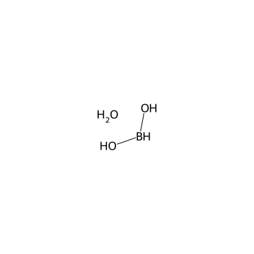 O.OBO